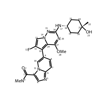 CNC(=O)c1cnc2ccc(-c3c(F)cn4nc(N[C@H]5CC[C@@](C)(O)CC5)nc(OC)c34)cn12